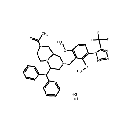 COc1ccc(-n2nnnc2C(F)(F)F)c(OC)c1CN1CC2CN(C(C)=O)CCN2C(C(c2ccccc2)c2ccccc2)C1.Cl.Cl